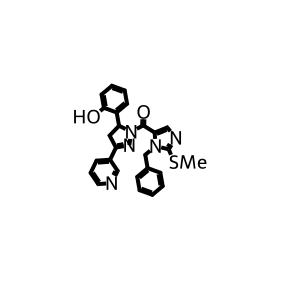 CSc1ncc(C(=O)N2N=C(c3cccnc3)CC2c2ccccc2O)n1Cc1ccccc1